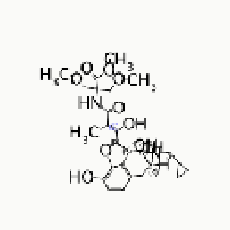 COCC(COC)(NC(=O)/C(C)=C(\O)[C@@H]1Oc2c(O)ccc3c2[C@@]12CCN(CC1CC1)[C@H](C3)[C@@]2(C)O)C(=O)OC